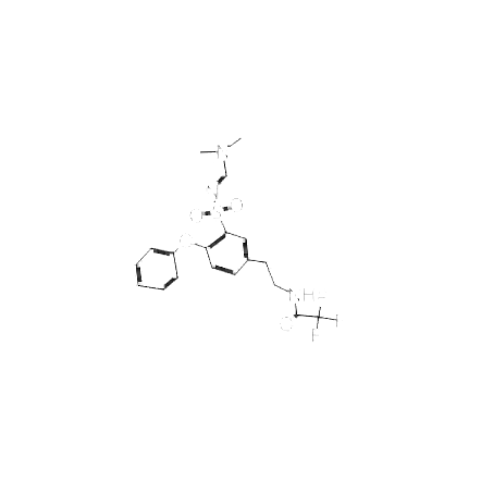 CN(C)C=NS(=O)(=O)c1cc(CCNC(=O)C(F)(F)F)ccc1Oc1ccccc1